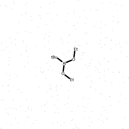 CC[O][Al]([O]CC)[C](C)(C)C